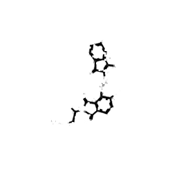 CCC(COC)N1C(=O)c2ccc(Cl)c(N=NC3=C(O)c4ccccc4C3=O)c2C1=O